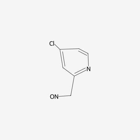 O=NCc1cc(Cl)ccn1